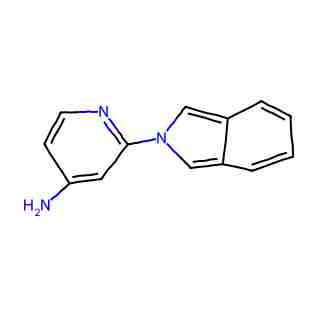 Nc1ccnc(-n2cc3ccccc3c2)c1